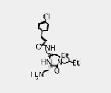 CCC(CC)CN1CC[C@@H](CNC(=O)C=Cc2ccc(Cl)cc2)N[C@@H](CCN)C1=O